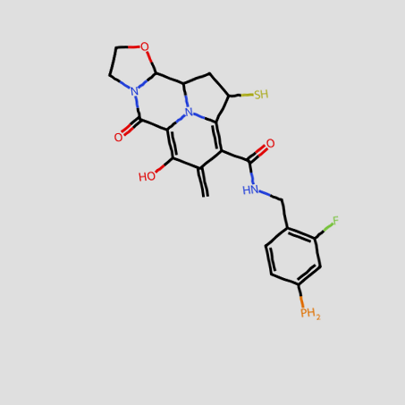 C=C1C(O)=C2C(=O)N3CCOC3C3CC(S)C(=C1C(=O)NCc1ccc(P)cc1F)N23